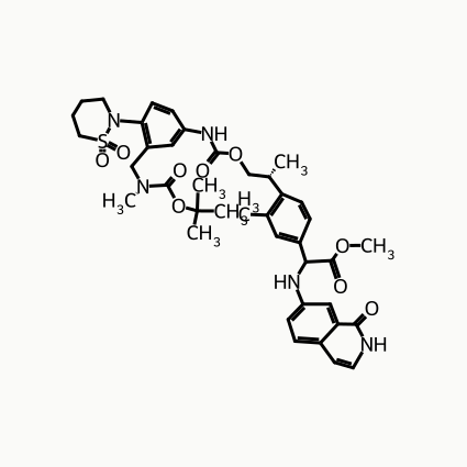 COC(=O)C(Nc1ccc2cc[nH]c(=O)c2c1)c1ccc([C@@H](C)COC(=O)Nc2ccc(N3CCCCS3(=O)=O)c(CN(C)C(=O)OC(C)(C)C)c2)c(C)c1